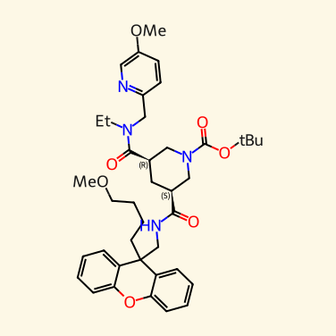 CCN(Cc1ccc(OC)cn1)C(=O)[C@@H]1C[C@H](C(=O)NCC2(CCCCOC)c3ccccc3Oc3ccccc32)CN(C(=O)OC(C)(C)C)C1